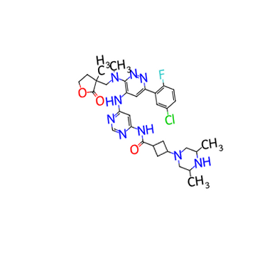 CC1CN(C2CC(C(=O)Nc3cc(Nc4cc(-c5cc(Cl)ccc5F)nnc4N(C)CC4(C)CCOC4=O)ncn3)C2)CC(C)N1